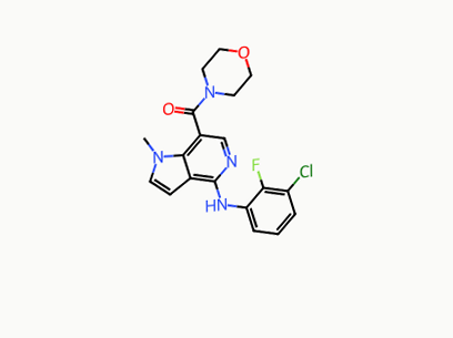 Cn1ccc2c(Nc3cccc(Cl)c3F)ncc(C(=O)N3CCOCC3)c21